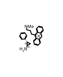 CNCCCC12CCC(c3ccccc31)c1ccccc12.N[C@@H]1C[C@H]1c1ccccc1